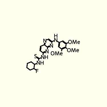 COc1cc(Nc2cnc3ccc(NC(=S)NC4CCCCC4F)nc3n2)cc(OC)c1OC